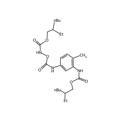 CCCCC(CC)COC(=O)NOC(=O)Nc1ccc(C)c(NC(=O)OCC(CC)CCCC)c1